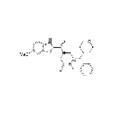 COc1ccc2[nH]c(C(=O)N3CC(=O)N(Cc4ccccc4)[C@@H](CN4CCOCC4)C3)cc2c1